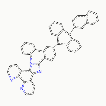 c1ccc2cc(-c3c4ccccc4c(-c4ccc5c(c4)c4ccccc4n4c5nc5c6cccnc6c6ncccc6c54)c4ccccc34)ccc2c1